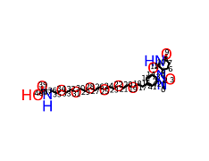 Cn1c(=O)n(C2CCC(=O)NC2=O)c2ccc(CCOCCOCCOCCOCCOCCOCCNC(=O)O)cc21